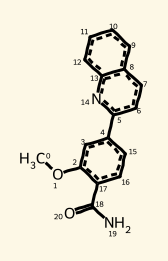 COc1cc(-c2ccc3ccccc3n2)ccc1C(N)=O